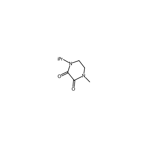 CC(C)N1CCN(C)C(=O)C1=O